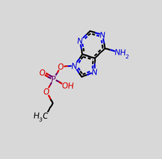 CCOP(=O)(O)On1cnc2c(N)ncnc21